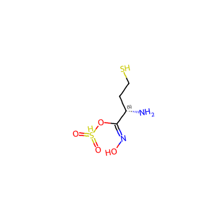 N[C@@H](CCS)C(=NO)O[SH](=O)=O